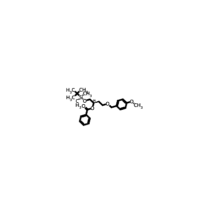 COc1ccc(COCC[C@H](CO[Si](C)(C)C(C)(C)C)OC(=O)c2ccccc2)cc1